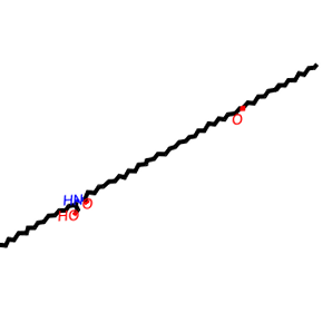 CCCCCCCCC=CCCCCCCCC(=O)CCCCCCCCCCCCCCCCCCCCCCCCCCCCCC(=O)NC(CO)CCCCCCCCCCCCCCCC